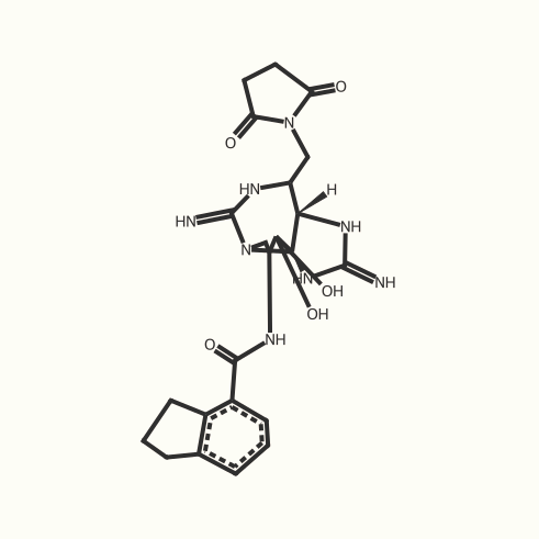 N=C1N[C@H]2C(CN3C(=O)CCC3=O)NC(=N)N3CC(NC(=O)c4cccc5c4CCC5)C(O)(O)[C@]23N1